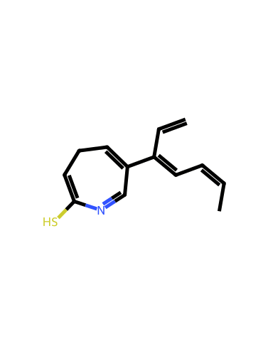 C=C/C(=C\C=C/C)C1=CCC=C(S)N=C1